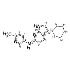 Cc1ccc(Nc2ccc3c(C4CCCCC4)c[nH]c3n2)cn1